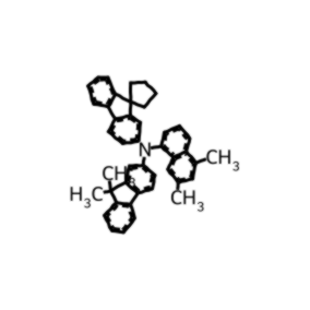 Cc1cc(C)c2cccc(N(c3ccc4c(c3)C(C)(C)c3ccccc3-4)c3ccc4c(c3)C3(CCCC3)c3ccccc3-4)c2c1